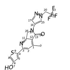 Cc1cc(-c2cc(O)cs2)nc2c1C(=O)N(c1cnn(CC(F)(F)F)c1)C2